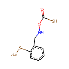 O=C(S)ONCc1ccccc1SS